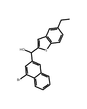 CCc1ccc2sc(C(O)c3cc(Br)c4ccccc4c3)cc2c1